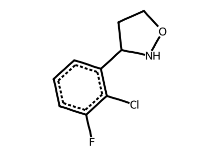 Fc1cccc(C2CCON2)c1Cl